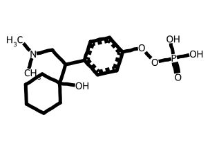 CN(C)CC(c1ccc(OOP(=O)(O)O)cc1)C1(O)CCCCC1